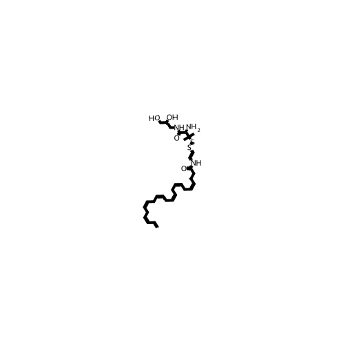 CC/C=C\C/C=C\C/C=C\C/C=C\C/C=C\C/C=C\CCC(=O)NCCSSC(C)(C)C(N)C(=O)NCC(O)CO